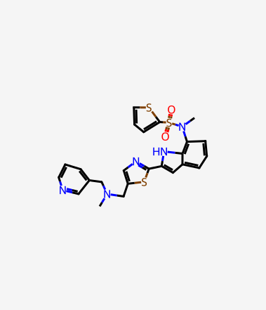 CN(Cc1cccnc1)Cc1cnc(-c2cc3cccc(N(C)S(=O)(=O)c4cccs4)c3[nH]2)s1